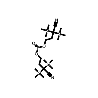 C[Si](C)(C)C(C#N)(CCO[PH](=O)OCCC(C#N)([Si](C)(C)C)[Si](C)(C)C)[Si](C)(C)C